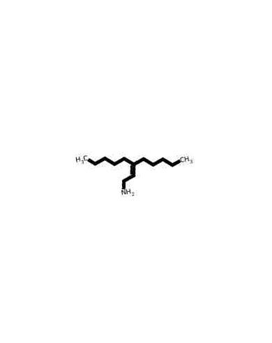 CCCCCC(=CCN)CCCCC